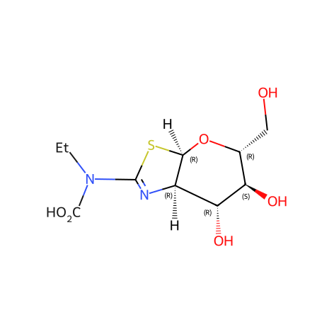 CCN(C(=O)O)C1=N[C@@H]2[C@@H](O)[C@H](O)[C@@H](CO)O[C@@H]2S1